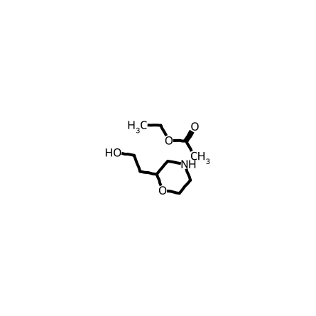 CCOC(C)=O.OCCC1CNCCO1